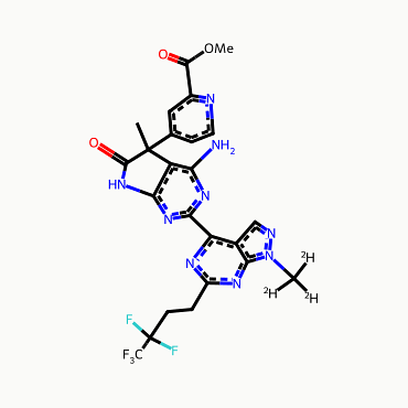 [2H]C([2H])([2H])n1ncc2c(-c3nc(N)c4c(n3)NC(=O)C4(C)c3ccnc(C(=O)OC)c3)nc(CCC(F)(F)C(F)(F)F)nc21